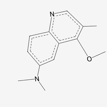 COc1c(C)cnc2ccc(N(C)C)cc12